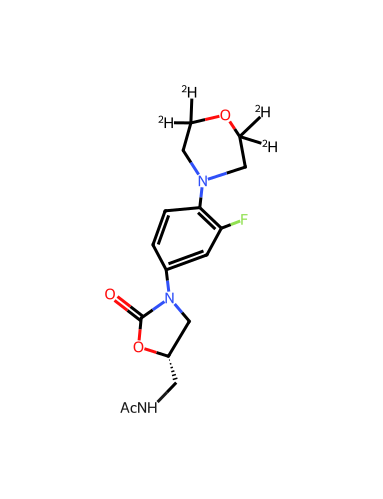 [2H]C1([2H])CN(c2ccc(N3C[C@H](CNC(C)=O)OC3=O)cc2F)CC([2H])([2H])O1